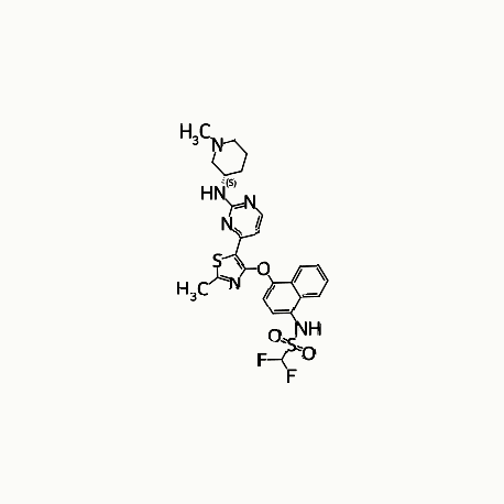 Cc1nc(Oc2ccc(NS(=O)(=O)C(F)F)c3ccccc23)c(-c2ccnc(N[C@H]3CCCN(C)C3)n2)s1